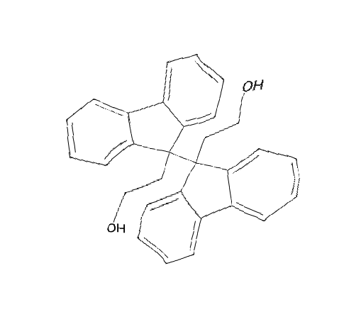 OCCC1(C2(CCO)c3ccccc3-c3ccccc32)c2ccccc2-c2ccccc21